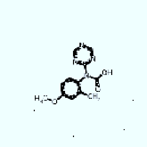 COc1ccc(N(C(=O)O)c2ncncn2)c(C)c1